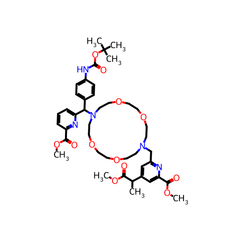 COC(=O)c1cc(C(C)C(=O)OC)cc(CN2CCOCCOCCN(C(c3ccc(NC(=O)OC(C)(C)C)cc3)c3cccc(C(=O)OC)n3)CCOCCOCC2)n1